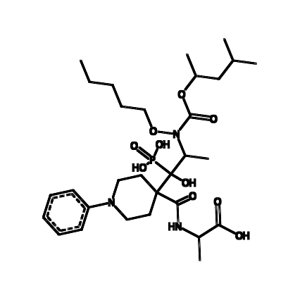 CCCCCON(C(=O)OC(C)CC(C)C)C(C)C(O)(C1(C(=O)NC(C)C(=O)O)CCN(c2ccccc2)CC1)P(=O)(O)O